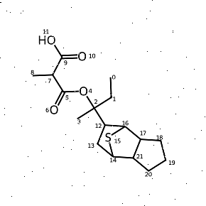 CCC(C)(OC(=O)C(C)C(=O)O)C1CC2SC1C1CCCC21